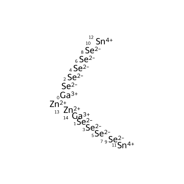 [Ga+3].[Ga+3].[Se-2].[Se-2].[Se-2].[Se-2].[Se-2].[Se-2].[Se-2].[Se-2].[Se-2].[Sn+4].[Sn+4].[Zn+2].[Zn+2]